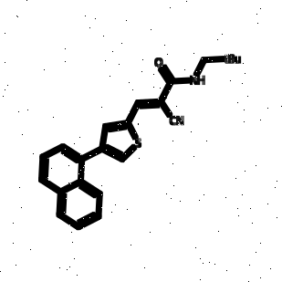 CC(C)(C)CNC(=O)/C(C#N)=C/c1cc(-c2cccc3ccccc23)cs1